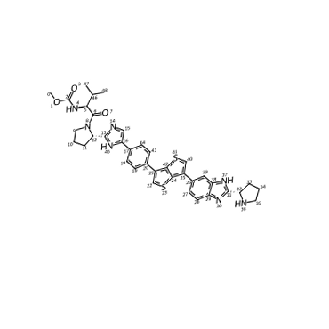 COC(=O)N[C@H](C(=O)N1CCC[C@H]1c1ncc(-c2ccc(-c3csc4c(-c5ccc6nc([C@@H]7CCCN7)[nH]c6c5)csc34)cc2)[nH]1)C(C)C